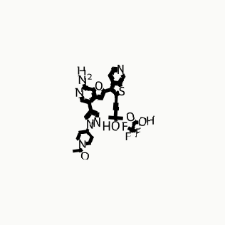 CC(=O)N1CCC(n2cc(-c3cnc(N)c4oc(-c5c(C#CC(C)(C)O)sc6cnccc56)cc34)cn2)CC1.O=C(O)C(F)(F)F